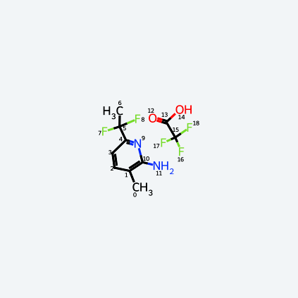 Cc1ccc(C(C)(F)F)nc1N.O=C(O)C(F)(F)F